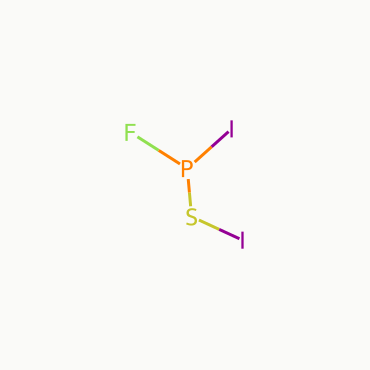 FP(I)SI